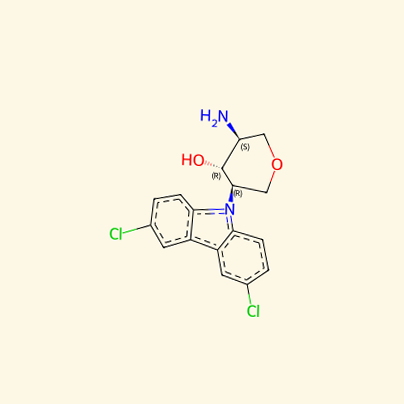 N[C@H]1COC[C@@H](n2c3ccc(Cl)cc3c3cc(Cl)ccc32)[C@@H]1O